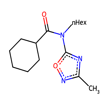 CCCCCCN(C(=O)C1CCCCC1)c1nc(C)no1